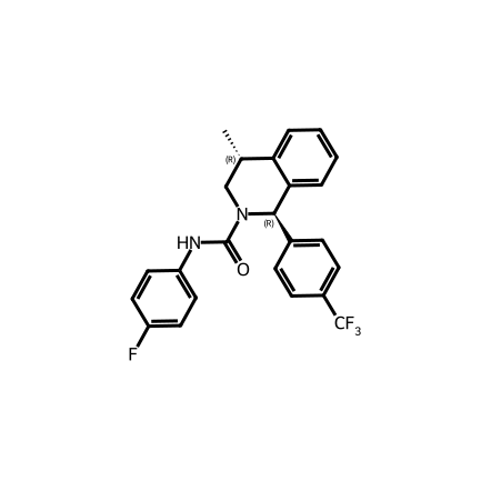 C[C@H]1CN(C(=O)Nc2ccc(F)cc2)[C@H](c2ccc(C(F)(F)F)cc2)c2ccccc21